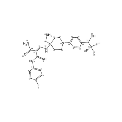 N=C(Nc1ccc(F)cc1)/C(=C\NC1(CN)CCN(c2ccc(C(O)C(F)(F)F)cc2)CC1)C(N)=O